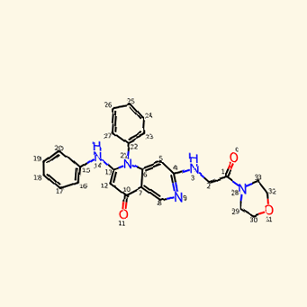 O=C(CNc1cc2c(cn1)c(=O)cc(Nc1ccccc1)n2-c1ccccc1)N1CCOCC1